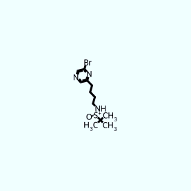 CC(C)(C)[S@@+]([O-])NCCCCc1cncc(Br)n1